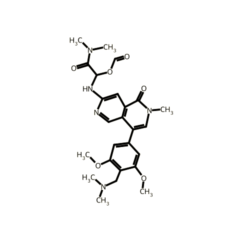 COc1cc(-c2cn(C)c(=O)c3cc(NC(OC=O)C(=O)N(C)C)ncc23)cc(OC)c1CN(C)C